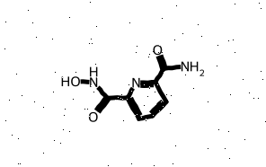 NC(=O)c1cccc(C(=O)NO)n1